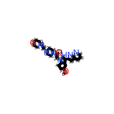 COc1ccc2c(c1)c(-c1cc3cccnc3[nH]1)cn2CC(=O)N1CCN(CCN2CCOCC2)CC1